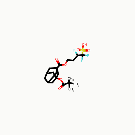 CC(C)(C)C(=O)OC12CC3CC(C1)CC(C(=O)OCCC(F)C(F)(F)S(=O)(=O)O)(C3)C2